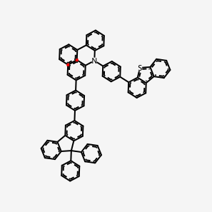 c1ccc(-c2ccccc2N(c2ccc(-c3cccc4c3sc3ccccc34)cc2)c2cccc(-c3ccc(-c4ccc5c(c4)-c4ccccc4C5(c4ccccc4)c4ccccc4)cc3)c2)cc1